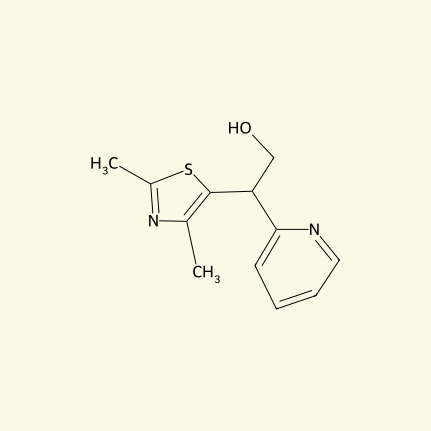 Cc1nc(C)c(C(CO)c2ccccn2)s1